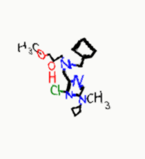 COC[C@H](O)CN(Cc1ccccc1)Cc1ncc(N(C)C2CCC2)nc1Cl